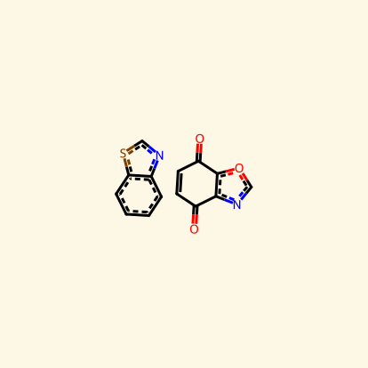 O=C1C=CC(=O)c2ocnc21.c1ccc2scnc2c1